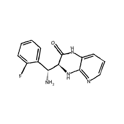 N[C@H](c1ccccc1F)[C@@H]1Nc2ncccc2NC1=O